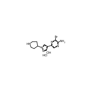 Cl.Cl.Nc1ncc(-c2cnn(C3CCNCC3)c2)nc1Br